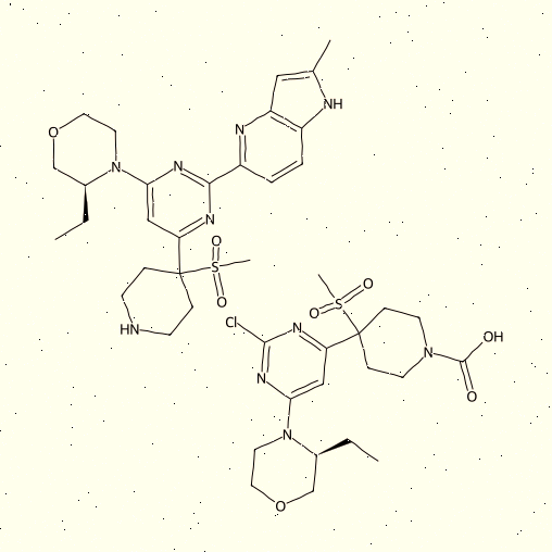 CC[C@H]1COCCN1c1cc(C2(S(C)(=O)=O)CCN(C(=O)O)CC2)nc(Cl)n1.CC[C@H]1COCCN1c1cc(C2(S(C)(=O)=O)CCNCC2)nc(-c2ccc3[nH]c(C)cc3n2)n1